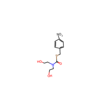 O=C(SCc1ccc([N+](=O)[O-])cc1)N(CCO)CCO